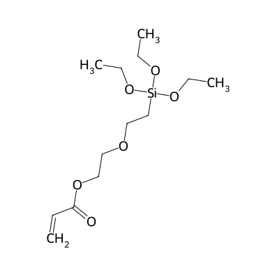 C=CC(=O)OCCOCC[Si](OCC)(OCC)OCC